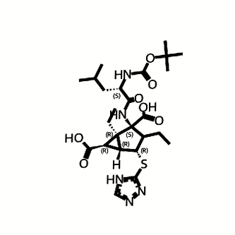 CCC1[C@H](Sc2nnc[nH]2)[C@@H]2[C@@H](C(=O)O)[C@@]2(CC)[C@]1(NC(=O)[C@H](CC(C)C)NC(=O)OC(C)(C)C)C(=O)O